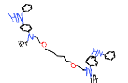 CC(C)N(CCOCCCCCCOCCN(c1ccc(Nc2ccccc2)cc1)C(C)C)c1ccc(Nc2ccccc2)cc1